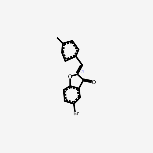 Cc1ccc(/C=C2\Oc3ccc(Br)cc3C2=O)cc1